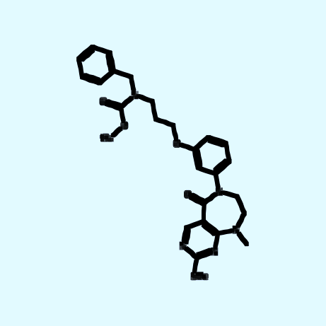 CSc1ncc2c(n1)N(C)CCN(c1cccc(OCCCN(Cc3ccccc3)C(=O)OC(C)(C)C)c1)C2=O